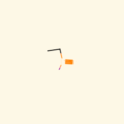 CCP(#P)I